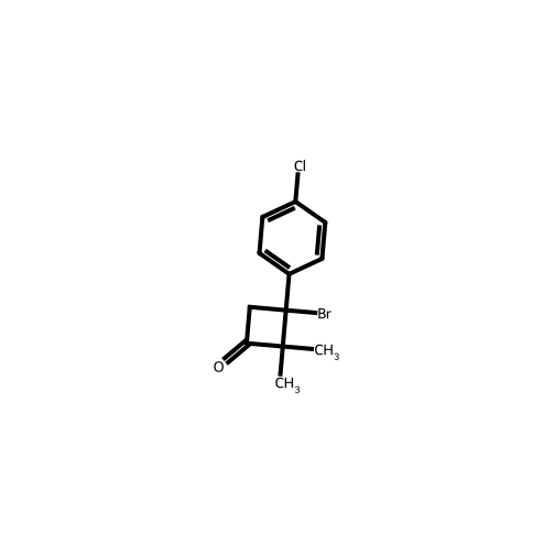 CC1(C)C(=O)CC1(Br)c1ccc(Cl)cc1